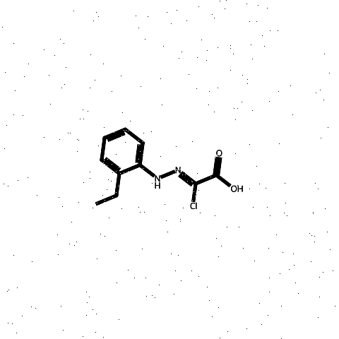 CCc1ccccc1NN=C(Cl)C(=O)O